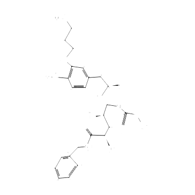 COCCCOc1cc(C[C@H](C[C@H](NC(=O)OC(C)(C)C)[C@H](O)C[C@H](C(=O)NCc2ccccc2)C(C)C)C(C)C)ccc1OC